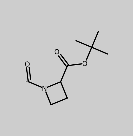 CC(C)(C)OC(=O)C1CCN1[C]=O